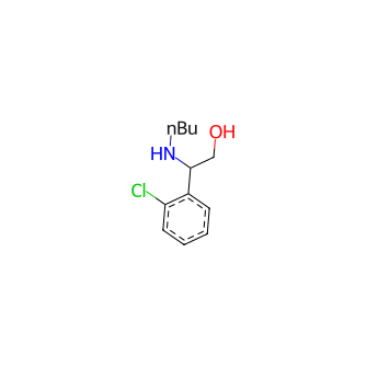 CCCCNC(CO)c1ccccc1Cl